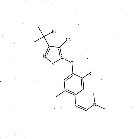 CCC(C)(C)c1nsc(Oc2cc(C)c(/N=C\N(C)C)cc2C)c1C#N